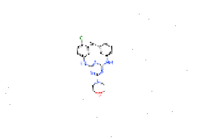 CC(=O)c1cccc(Nc2nc(Nc3ccc(Cl)cc3)nc(N3CCOCC3)n2)c1